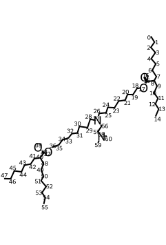 CCCCCCCCC(CCCCCC)C(=O)OCCCCCCCCCN(CCCCCCCCCOC(=O)C(CCCCCCC)CCCCCCCC)CCN(C)C